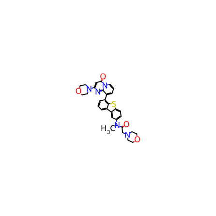 CN(C(=O)CN1CCOCC1)c1ccc2sc3c(-c4cccn5c(=O)cc(N6CCOCC6)nc45)cccc3c2c1